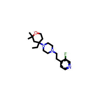 CCC1(N2CCN(CCc3ccncc3F)CC2)CCOC(C)(C)C1